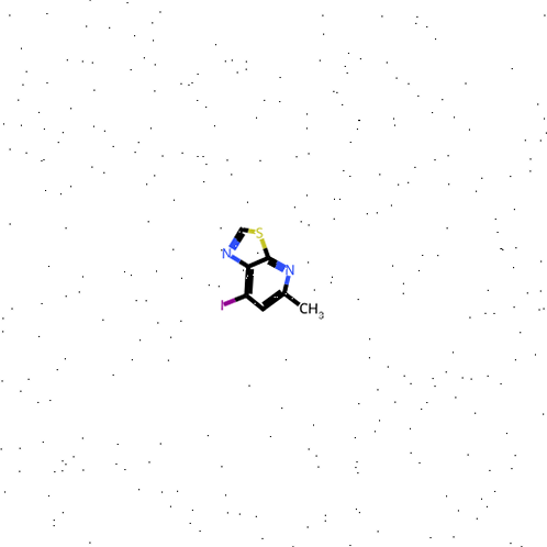 Cc1cc(I)c2ncsc2n1